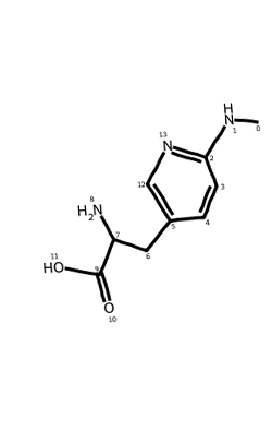 CNc1ccc(CC(N)C(=O)O)cn1